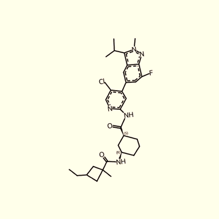 CCC1CC(C)(C(=O)N[C@@H]2CCC[C@H](C(=O)Nc3cc(-c4cc(F)c5nn(C)c(C(C)C)c5c4)c(Cl)cn3)C2)C1